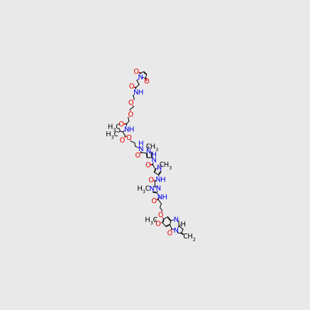 C=C1C[C@H]2C=Nc3cc(OCCCC(=O)Nc4cn(C)c(C(=O)Nc5cc(C(=O)Nc6cc(C(=O)NCCCOC(=O)C(NC(=O)CCOCCOCCNC(=O)CCN7C(=O)C=CC7=O)C(C)C)n(C)c6)n(C)c5)n4)c(OC)cc3C(=O)N2C1